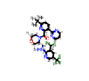 [2H]C([2H])([2H])c1ccc(-c2ncccn2)c(C(=O)N2C[C@@H](C)O[C@@H](C)[C@H]2CNc2ncc(C(F)(F)F)cc2C(F)F)n1